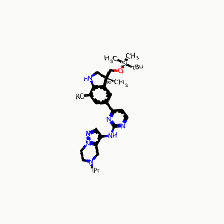 CC(C)N1CCn2ncc(Nc3nccc(-c4cc(C#N)c5c(c4)[C@@](C)(CO[Si](C)(C)C(C)(C)C)CN5)n3)c2C1